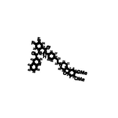 COc1cc2oc3c(c2cc1OC)CCN(CCc1ccc(NC(=O)c2cc(F)c(F)cc2NC(=O)c2cnc4ccccc4c2)cc1)C3